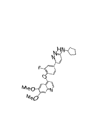 COc1cc2nccc(Oc3ccc(-c4ccc(NC5CCCC5)nn4)cc3F)c2cc1OC